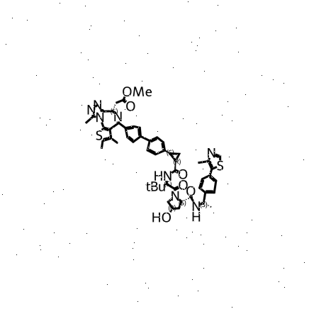 COC(=O)C[C@@H]1N=C(c2ccc(-c3ccc([C@H]4C[C@H]4C(=O)N[C@H](C(=O)N4C[C@H](O)C[C@H]4C(=O)N[C@@H](C)c4ccc(-c5scnc5C)cc4)C(C)(C)C)cc3)cc2)c2c(sc(C)c2C)-n2c(C)nnc21